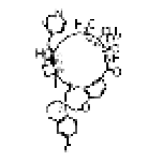 C[C@@H]1[C@@H](C)CCC[C@](O)(Cc2ccncn2)[C@@H]2CC[C@H]2CN2C[C@@]3(CCCc4cc(Cl)ccc43)COc3ccc(cc32)C(=O)NS1(=O)=O